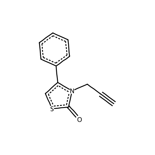 C#CCn1c(-c2ccccc2)csc1=O